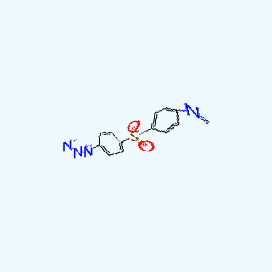 C=Nc1ccc(S(=O)(=O)c2ccc(N=[N+]=[N-])cc2)cc1